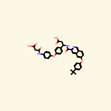 CC(C)(C)c1ccc(Oc2ccc3cnc(C(=O)NC(CC(=O)O)c4ccc(Oc5ccc(NC(=O)CC(=O)O)cc5)cc4)cc3c2)cc1